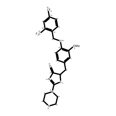 COc1cc(CC2SC(N3CCSCC3)=NC2=O)ccc1OCc1ccc(C(F)(F)F)cc1C(F)(F)F